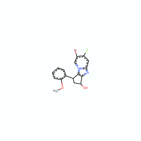 COc1ccccc1C1CC(O)c2nc3cc(F)c(Br)cn3c21